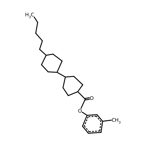 CCCCCC1CCC(C2CCC(C(=O)Oc3cccc(C)c3)CC2)CC1